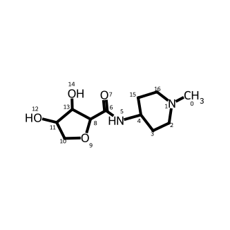 CN1CCC(NC(=O)C2OCC(O)C2O)CC1